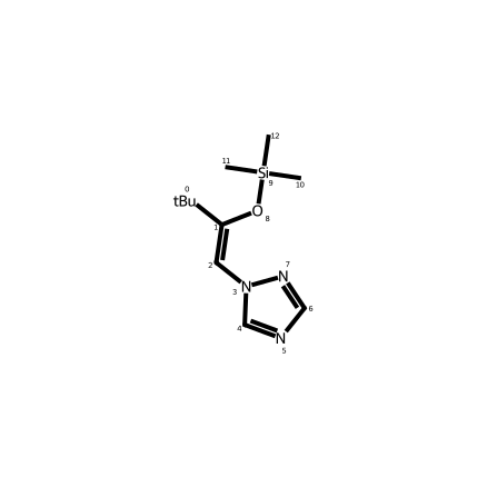 CC(C)(C)C(=Cn1cncn1)O[Si](C)(C)C